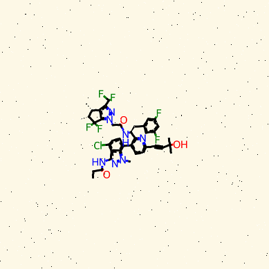 CCC(=O)Nc1nn(C)c2c(-c3ccc(C#CC(C)(C)O)nc3[C@H](Cc3cc(F)cc(F)c3)NC(=O)Cn3nc(C(F)F)c4c3C(F)(F)[C@H](C)[C@@H]4C)ccc(Cl)c12